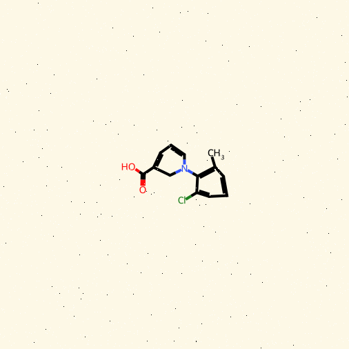 Cc1cccc(Cl)c1N1C=CC=C(C(=O)O)C1